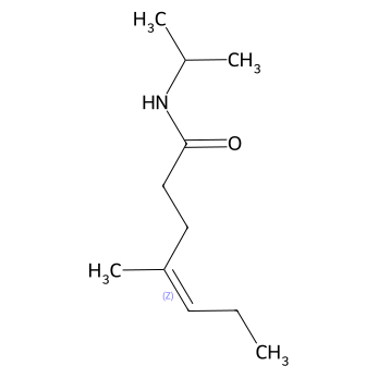 CC/C=C(/C)CCC(=O)NC(C)C